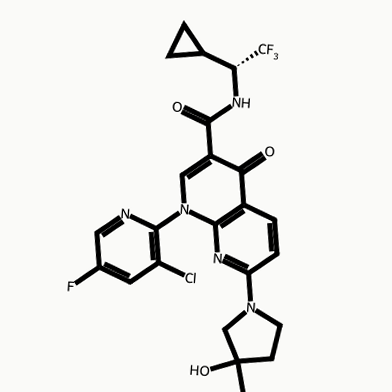 CC1(O)CCN(c2ccc3c(=O)c(C(=O)N[C@H](C4CC4)C(F)(F)F)cn(-c4ncc(F)cc4Cl)c3n2)C1